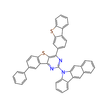 c1ccc(-c2ccc3sc4c(-c5ccc6c(c5)sc5ccccc56)nc(-n5c6ccccc6c6cc7ccccc7cc65)nc4c3c2)cc1